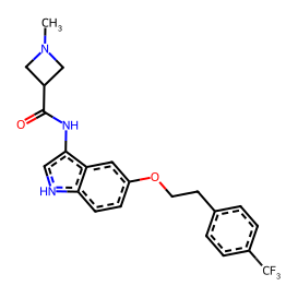 CN1CC(C(=O)Nc2c[nH]c3ccc(OCCc4ccc(C(F)(F)F)cc4)cc23)C1